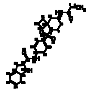 C=CC(=O)NC1CCN(S(=O)(=O)c2ccc(NC(=O)c3cc4ccccc4[nH]3)cc2)C2(CCC2)C1